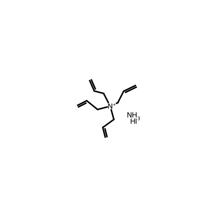 C=CC[N+](CC=C)(CC=C)CC=C.I.N